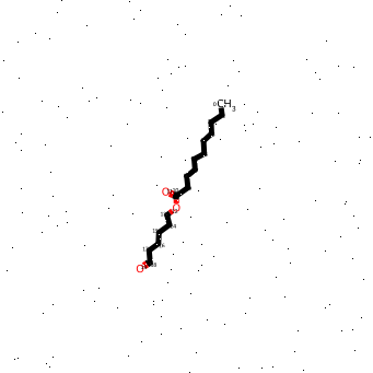 CCCCCCCCCCC(=O)OCCCCCC=O